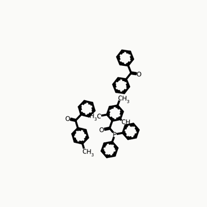 Cc1cc(C)c(C(=O)P(c2ccccc2)c2ccccc2)c(C)c1.Cc1ccc(C(=O)c2ccccc2)cc1.O=C(c1ccccc1)c1ccccc1